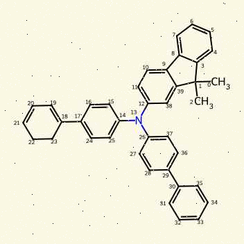 CC1(C)c2ccccc2-c2ccc(N(c3ccc(C4=CC=CCC4)cc3)c3ccc(-c4ccccc4)cc3)cc21